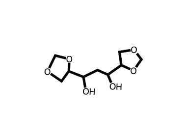 OC(CC(O)C1COCO1)C1COCO1